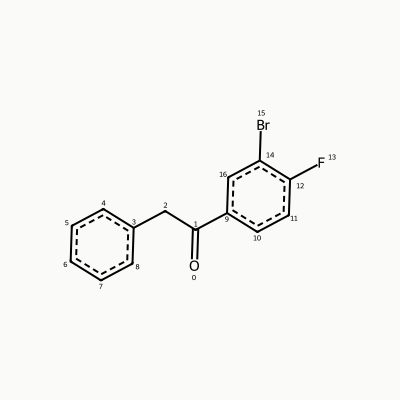 O=C(Cc1ccccc1)c1ccc(F)c(Br)c1